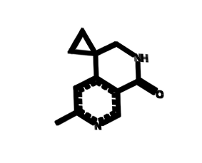 Cc1cc2c(cn1)C(=O)NCC21CC1